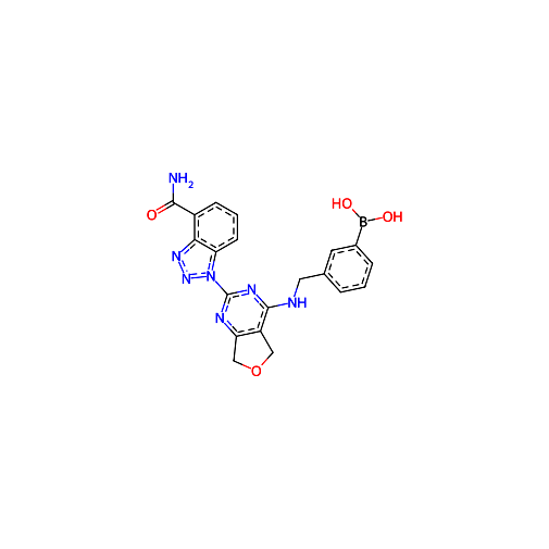 NC(=O)c1cccc2c1nnn2-c1nc2c(c(NCc3cccc(B(O)O)c3)n1)COC2